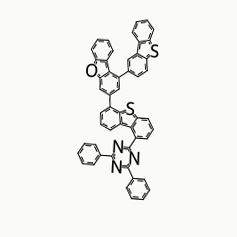 c1ccc(-c2nc(-c3ccccc3)nc(-c3cccc4sc5c(-c6cc(-c7ccc8sc9ccccc9c8c7)c7c(c6)oc6ccccc67)cccc5c34)n2)cc1